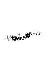 CC(=O)Nc1ccc(CCOCCNCC2CCC(N)CC2)cc1